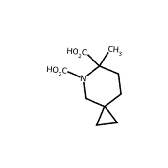 CC1(C(=O)O)CCC2(CC2)CN1C(=O)O